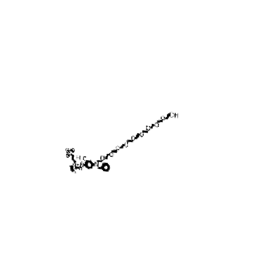 Cc1cc(N(CCOCCOCCOCCOCCOCCOCCOCCOCCOCCO)Cc2ccccc2)ccc1/N=N/c1scc[n+]1CCCS(=O)(=O)[O-]